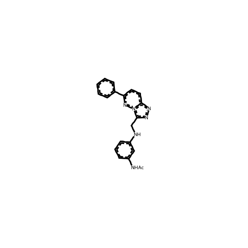 CC(=O)Nc1cccc(NCc2nnc3ccc(-c4ccccc4)nn23)c1